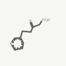 CCOC(=O)CC(=O)CCc1cccnc1